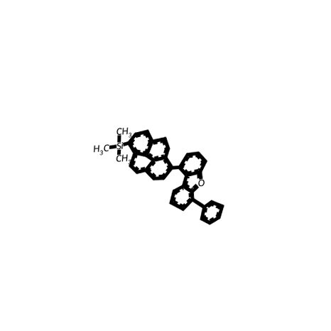 C[Si](C)(C)c1ccc2ccc3c(-c4cccc5oc6c(-c7ccccc7)cccc6c45)ccc4ccc1c2c43